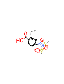 CCc1cc(N(S(C)(=O)=O)S(C)(=O)=O)ccc1C(=O)O